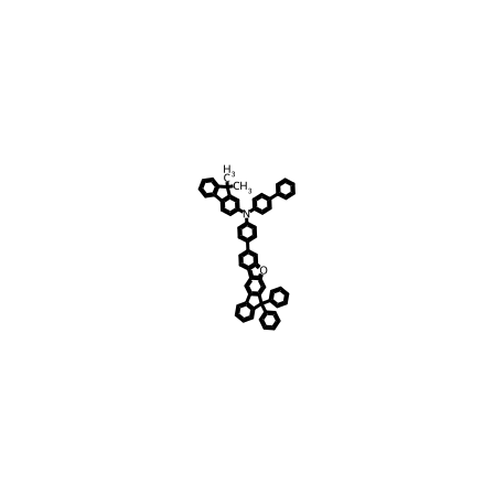 CC1(C)c2ccccc2-c2ccc(N(c3ccc(-c4ccccc4)cc3)c3ccc(-c4ccc5c(c4)oc4cc6c(cc45)-c4ccccc4C6(c4ccccc4)c4ccccc4)cc3)cc21